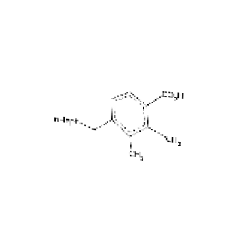 CCCCCCCCc1ccc(C(=O)O)c(C)c1C